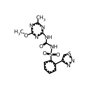 COc1nc(C)nc(NC(=O)NS(=O)(=O)c2ccccc2-c2csnn2)n1